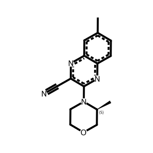 Cc1ccc2nc(N3CCOC[C@@H]3C)c(C#N)nc2c1